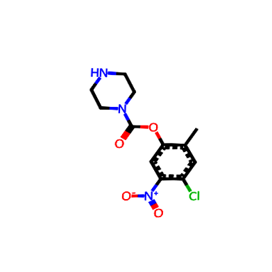 Cc1cc(Cl)c([N+](=O)[O-])cc1OC(=O)N1CCNCC1